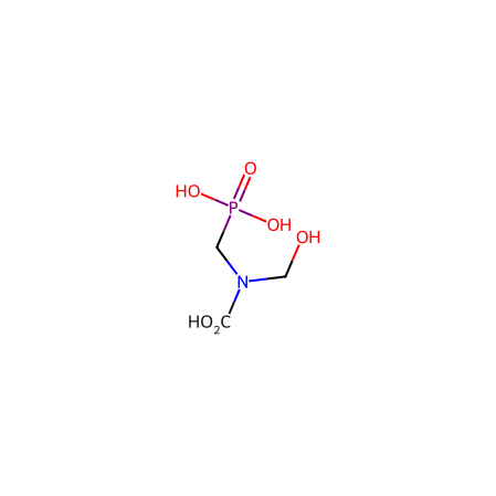 O=C(O)N(CO)CP(=O)(O)O